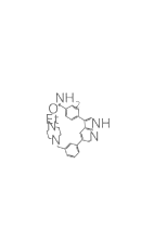 CCN1CCN(Cc2cccc(-c3cnc4[nH]cc(-c5ccc(C(N)=O)cc5)c4c3)c2)CC1